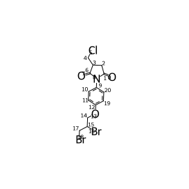 O=C1CC(CCl)C(=O)N1c1ccc(OCC(Br)CBr)cc1